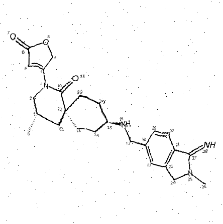 C[C@@H]1CN(C2=CC(=O)OC2)C(=O)[C@]2(CC[C@H](NCc3ccc4c(c3)CN(C)C4=N)CC2)C1